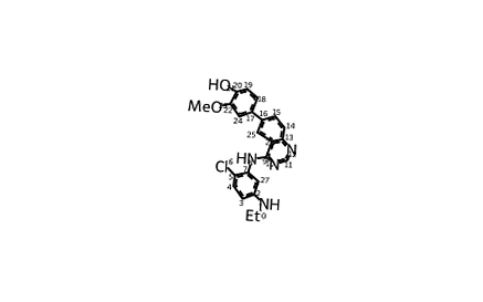 CCNc1ccc(Cl)c(Nc2ncnc3ccc(-c4ccc(O)c(OC)c4)cc23)c1